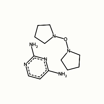 C1CCN(ON2CCCC2)C1.Nc1ccnc(N)n1